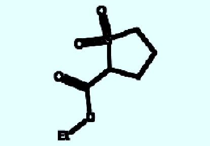 CCOC(=O)C1CCCS1(=O)=O